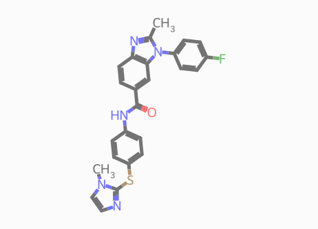 Cc1nc2ccc(C(=O)Nc3ccc(Sc4nccn4C)cc3)cc2n1-c1ccc(F)cc1